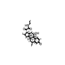 CCNC(=O)C(=O)[C@H]1[C@H](C)C[C@H]2[C@@H]3C[C@H](F)C4=CC(=O)C=C[C@]4(C)[C@H]3[C@@H](O)C[C@@]21C